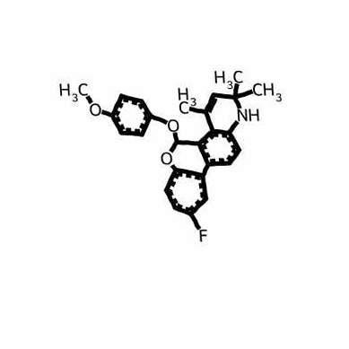 COc1ccc(OC2Oc3ccc(F)cc3-c3ccc4c(c32)C(C)=CC(C)(C)N4)cc1